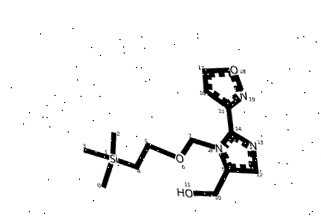 C[Si](C)(C)CCOCn1c(CO)cnc1-c1ccon1